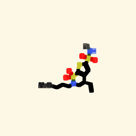 C=C[C@H]1CN(CCCOC)S(=O)(=O)c2sc(S(=O)(=O)NCC)cc21